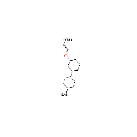 CCCCC=CO[C@@H]1CCC[C@@H]([C@H]2CC[C@H](CCCC)CC2)C1